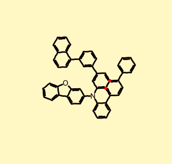 c1ccc(-c2ccc(-c3ccccc3N(c3cccc(-c4cccc(-c5cccc6ccccc56)c4)c3)c3ccc4c(c3)oc3ccccc34)cc2)cc1